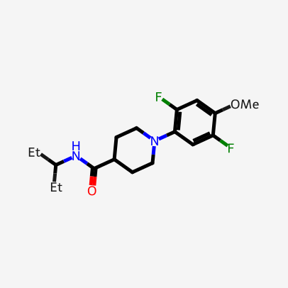 CCC(CC)NC(=O)C1CCN(c2cc(F)c(OC)cc2F)CC1